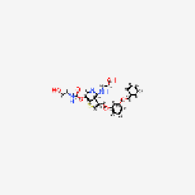 O=C(NCCO)Oc1cnc(NCCO)c2c(COc3cccc(OCc4ccccc4)c3)csc12